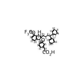 NC(CCCC(c1ccccc1)c1ccccc1)(Cc1cccc(OC(F)(F)F)c1)Oc1cccc(CC(=O)O)c1